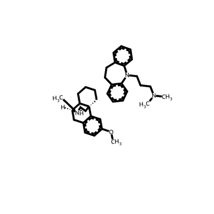 CN(C)CCCN1c2ccccc2CCc2ccccc21.COc1ccc2c(c1)[C@]13CCCC[C@@H]1[C@H](C2)N(C)CC3